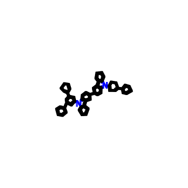 C1=CC(c2cc(-c3ccccc3)cc(-n3c4ccccc4c4cc(-c5ccc6c(c5)c5ccccc5n6C5=CC=C(c6ccccc6)CC5)ccc43)c2)=CCC1